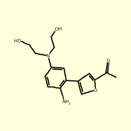 CC(=O)c1cc(-c2cc(N(CCO)CCO)ccc2N)co1